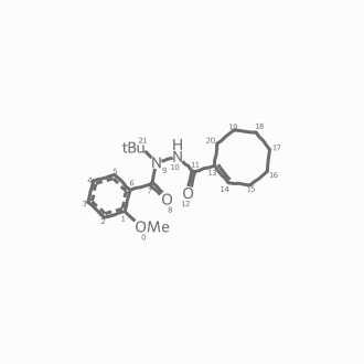 COc1ccccc1C(=O)N(NC(=O)C1=CCCCCCC1)C(C)(C)C